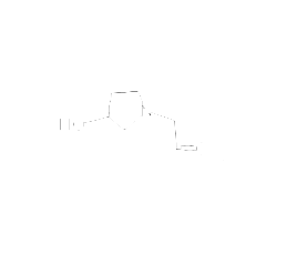 C=C[CH]N1CCC(O)C1